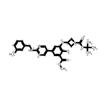 COC(=O)c1cc(-c2cnc(NCc3cccc(C)c3)nc2)cc(OC2CN(C(=O)OC(C)(C)C)C2)c1Cl